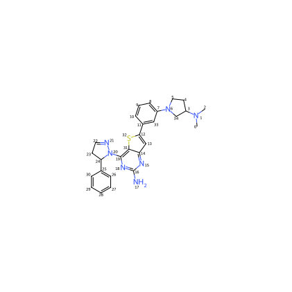 CN(C)C1CCN(c2cccc(-c3cc4nc(N)nc(N5N=CCC5c5ccccc5)c4s3)c2)C1